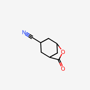 N#CC1CC2CC(C1)C(=O)O2